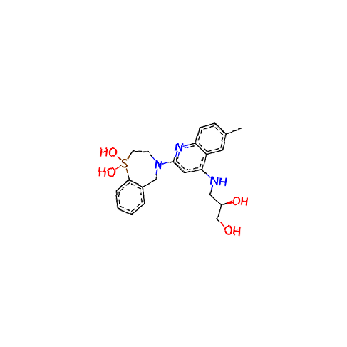 Cc1ccc2nc(N3CCS(O)(O)c4ccccc4C3)cc(NC[C@@H](O)CO)c2c1